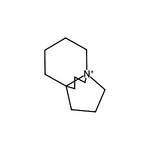 C1CC[N+]23CCCC2(C1)CCC3